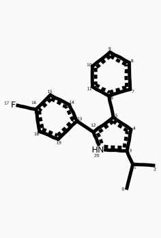 CC(C)c1cc(-c2ccccc2)c(-c2ccc(F)cc2)[nH]1